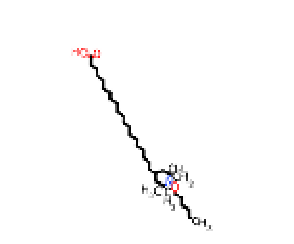 CCCCCCON1C(C)(C)CC(CCCCCCCCCCCCCCCCCCCC(=O)O)CC1(C)C